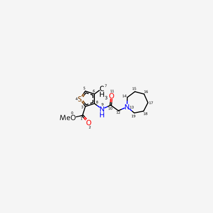 COC(=O)c1scc(C)c1NC(=O)CN1CCCCCC1